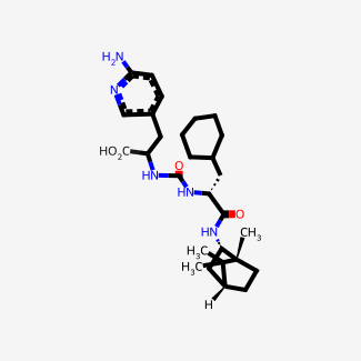 CC1(C)[C@@H]2CC[C@@]1(C)[C@@H](NC(=O)[C@@H](CC1CCCCC1)NC(=O)NC(Cc1ccc(N)nc1)C(=O)O)C2